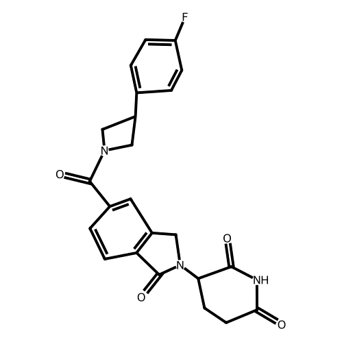 O=C1CCC(N2Cc3cc(C(=O)N4CC(c5ccc(F)cc5)C4)ccc3C2=O)C(=O)N1